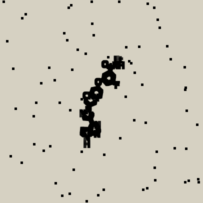 CCNC(=O)c1cc(F)cc(OC2CCN(CC(CC#N)n3cc(-c4ncnc5[nH]ccc45)cn3)CC2)c1